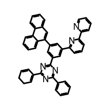 C1=CC(c2nc(-c3ccccc3)nc(-c3cc(-c4cccc(-c5ccccn5)n4)cc(-c4cc5ccccc5c5ccccc45)c3)n2)=CCC1